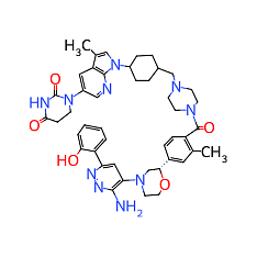 Cc1cc([C@H]2CN(c3cc(-c4ccccc4O)nnc3N)CCO2)ccc1C(=O)N1CCN(CC2CCC(n3cc(C)c4cc(N5CCC(=O)NC5=O)cnc43)CC2)CC1